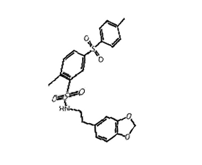 Cc1ccc(S(=O)(=O)c2ccc(C)c(S(=O)(=O)NCCc3ccc4c(c3)OCO4)c2)cc1